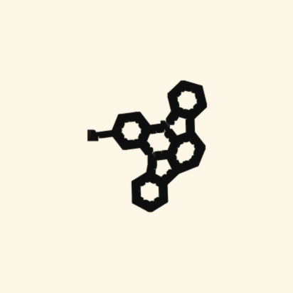 Brc1ccc2c(c1)n1c3ccccc3c3ccc4c5ccccc5n2c4c31